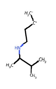 [CH2-][CH+]CCNC(C)C(C)C